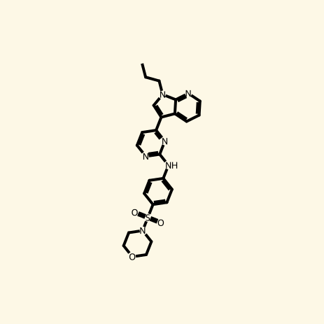 CCCn1cc(-c2ccnc(Nc3ccc(S(=O)(=O)N4CCOCC4)cc3)n2)c2cccnc21